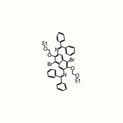 CCOCOc1c(N=C(c2ccccc2)c2ccccc2)cc2c(Br)c(OCOCC)c(N=C(c3ccccc3)c3ccccc3)cc2c1Br